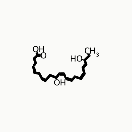 CC[C@@H](O)/C=C/C=C\C/C=C\C=C/[C@@H](O)C/C=C\C/C=C\CCC(=O)O